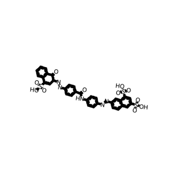 O=C(Nc1ccc(/N=N/c2ccc3cc(S(=O)(=O)O)cc(S(=O)(=O)O)c3c2)cc1)c1ccc(/N=N/C2C=C(S(=O)(=O)O)c3ccccc3C2=O)cc1